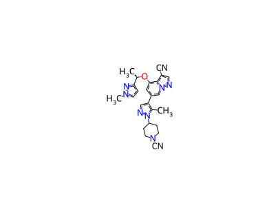 Cc1c(-c2cc(O[C@H](C)c3ccn(C)n3)c3c(C#N)cnn3c2)cnn1C1CCN(C#N)CC1